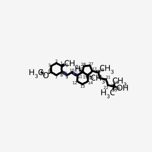 C=C1CC[C@H](OC)C/C1=C/C=C1\CCC[C@]2(C)C([C@H](C)CCCC(C)(C)O)CC[C@@H]12